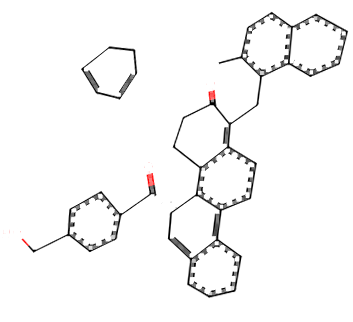 C1=CCCC=C1.Cc1ccc2ccccc2c1CC1=c2ccc3c(c2CCC1=O)[C@@H](C(=O)c1ccc(CO)cc1)C=c1ccccc1=3